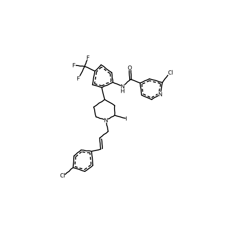 O=C(Nc1ccc(C(F)(F)F)cc1C1CCN(C/C=C/c2ccc(Cl)cc2)C(I)C1)c1ccnc(Cl)c1